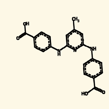 Cc1cc(Nc2ccc(C(=O)O)cc2)nc(Nc2ccc(C(=O)O)cc2)c1